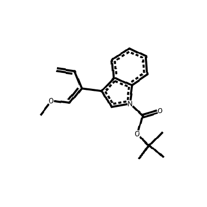 C=C/C(=C\OC)c1cn(C(=O)OC(C)(C)C)c2ccccc12